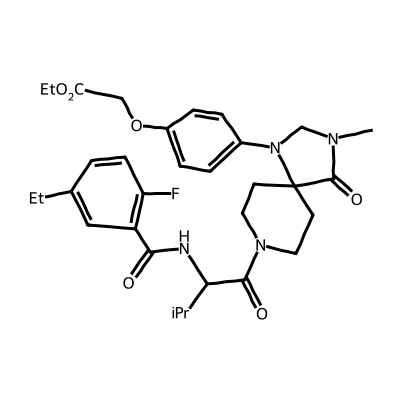 CCOC(=O)COc1ccc(N2CN(C)C(=O)C23CCN(C(=O)C(NC(=O)c2cc(CC)ccc2F)C(C)C)CC3)cc1